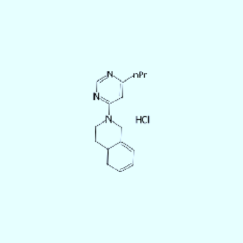 CCCc1cc(N2CCC3CC=CC=C3C2)ncn1.Cl